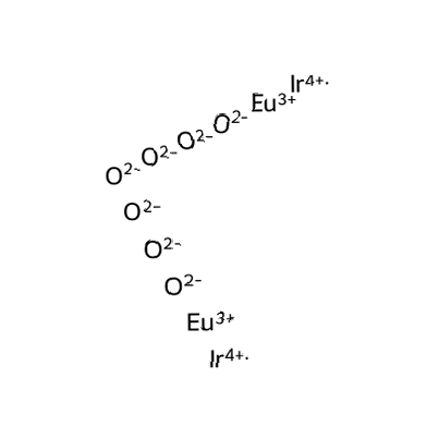 [Eu+3].[Eu+3].[Ir+4].[Ir+4].[O-2].[O-2].[O-2].[O-2].[O-2].[O-2].[O-2]